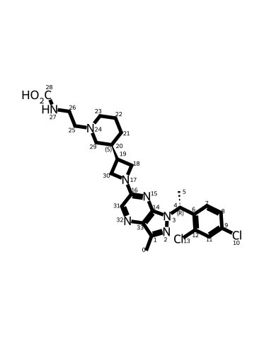 Cc1nn([C@H](C)c2ccc(Cl)cc2Cl)c2nc(N3CC([C@@H]4CCCN(CCNC(=O)O)C4)C3)cnc12